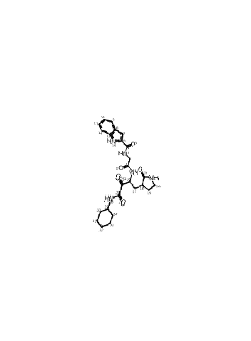 O=C(CNC(=O)c1cc2ccccc2[nH]1)N[C@@H](C[C@@H]1CCNC1=O)C(=O)C(=O)NC1CCCCC1